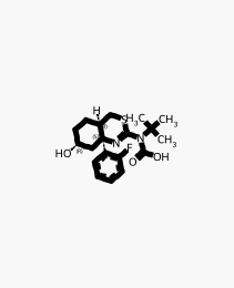 CC(C)(C)N(C(=O)O)C1=N[C@@]2(c3ccccc3F)C[C@H](O)CC[C@H]2CS1